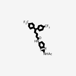 CC(=O)Nc1nc2ccc(NC(=O)C=CC=C(c3ccc(C(F)(F)F)cc3)c3ccc(C(F)(F)F)cc3)cc2s1